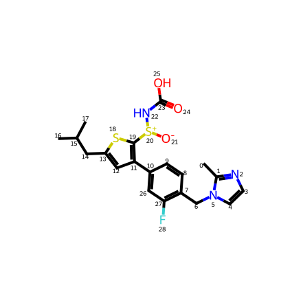 Cc1nccn1Cc1ccc(-c2cc(CC(C)C)sc2[S+]([O-])NC(=O)O)cc1F